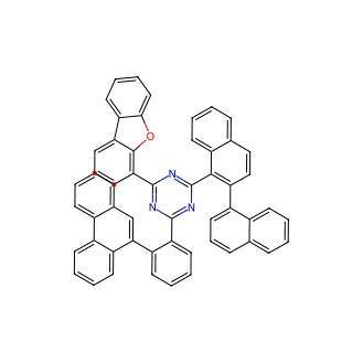 c1ccc(-c2cc3ccccc3c3ccccc23)c(-c2nc(-c3c(-c4cccc5ccccc45)ccc4ccccc34)nc(-c3cccc4c3oc3ccccc34)n2)c1